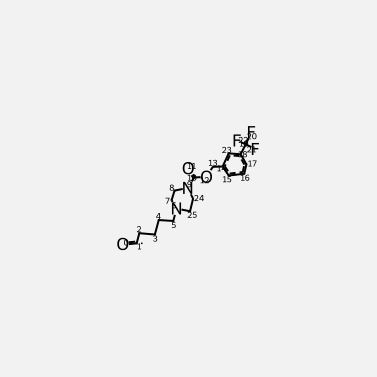 O=[C]CCCCN1CCN(C(=O)OCc2cccc(C(F)(F)F)c2)CC1